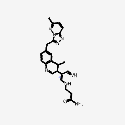 Cc1ccc2nnc(Cc3ccc4c(c3)C(C)C(/C(C=N)=C/NCCC(N)=O)C=N4)n2n1